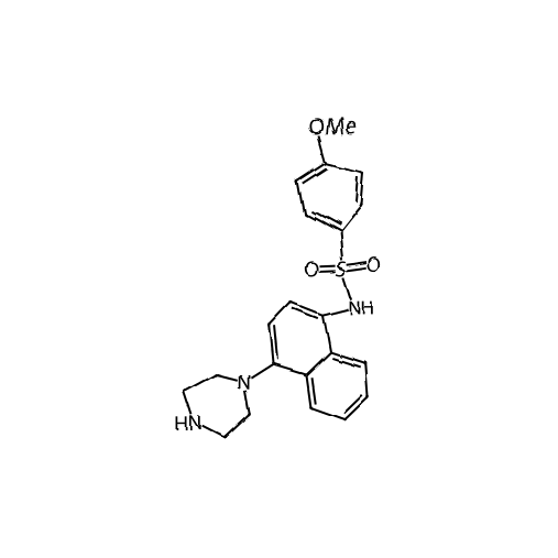 COc1ccc(S(=O)(=O)Nc2ccc(N3CCNCC3)c3ccccc23)cc1